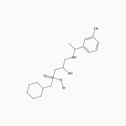 CCOP(=O)(CC(O)CNC(C)c1cccc(C#N)c1)CC1CCCCC1